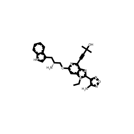 CCn1c(-c2nonc2N)nc2c(C#CC(C)(C)O)nc(OC[C@H](N)Cc3c[nH]c4ccccc34)cc21